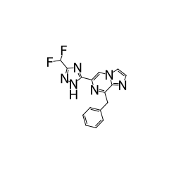 FC(F)c1n[nH]c(-c2cn3ccnc3c(Cc3ccccc3)n2)n1